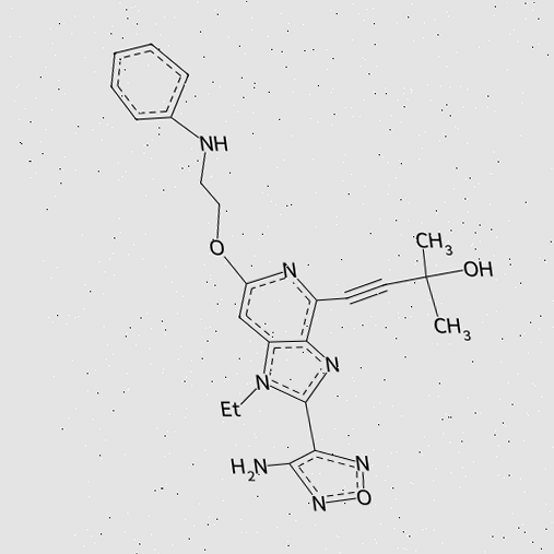 CCn1c(-c2nonc2N)nc2c(C#CC(C)(C)O)nc(OCCNc3ccccc3)cc21